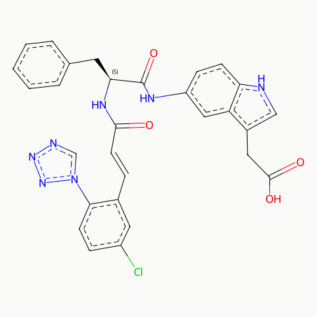 O=C(O)Cc1c[nH]c2ccc(NC(=O)[C@H](Cc3ccccc3)NC(=O)C=Cc3cc(Cl)ccc3-n3cnnn3)cc12